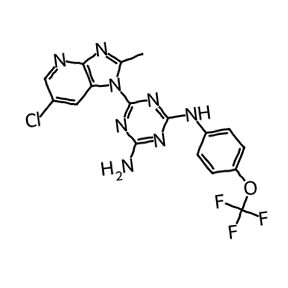 Cc1nc2ncc(Cl)cc2n1-c1nc(N)nc(Nc2ccc(OC(F)(F)F)cc2)n1